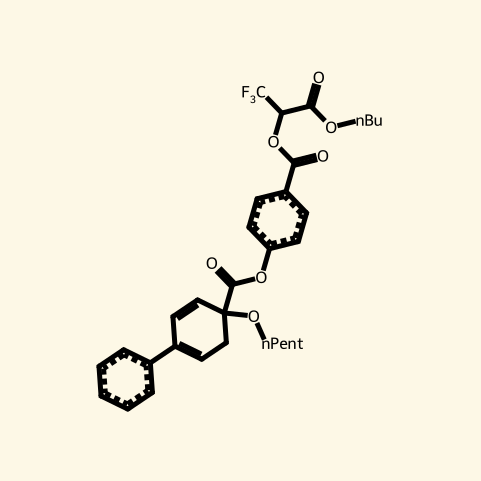 CCCCCOC1(C(=O)Oc2ccc(C(=O)OC(C(=O)OCCCC)C(F)(F)F)cc2)C=CC(c2ccccc2)=CC1